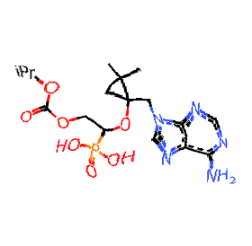 CC(C)OC(=O)OCC(OC1(Cn2cnc3c(N)ncnc32)CC1(C)C)P(=O)(O)O